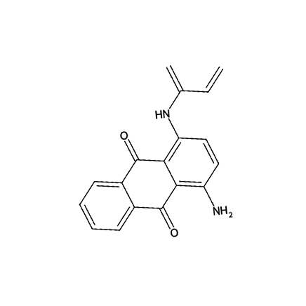 C=CC(=C)Nc1ccc(N)c2c1C(=O)c1ccccc1C2=O